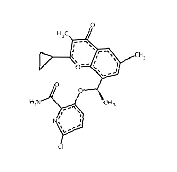 Cc1cc([C@@H](C)Oc2ccc(Cl)nc2C(N)=O)c2oc(C3CC3)c(C)c(=O)c2c1